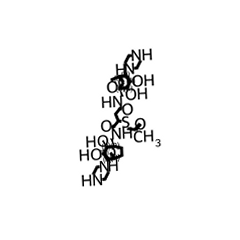 CC(=O)CSC(CC(=O)NC[C@@]12OC[C@H](O1)[C@H](N1CCNCC1)[C@@H](O)[C@H]2O)C(=O)NC[C@@]12CC[C@@H](O1)[C@H](N1CCNCC1)[C@@H](O)[C@H]2O